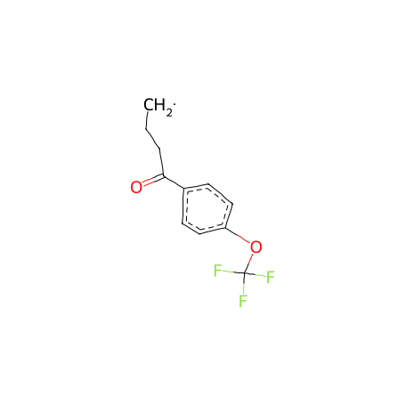 [CH2]CCC(=O)c1ccc(OC(F)(F)F)cc1